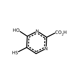 O=C(O)c1ncc(S)c(O)n1